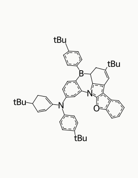 CC(C)(C)C1=Cc2c3n(c4oc5ccccc5c24)-c2cc(N(C4=CCC(C(C)(C)C)C=C4)c4ccc(C(C)(C)C)cc4)ccc2B(c2ccc(C(C)(C)C)cc2)C3C1